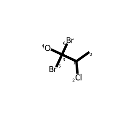 CC(Cl)C([O])(Br)Br